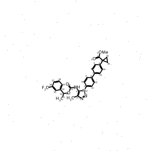 COC(=O)C1(c2ccc(-c3ccc(-n4nnc(C)c4NC(=O)OC(C)c4cccc(C(F)(F)F)c4)cc3)cc2)CC1